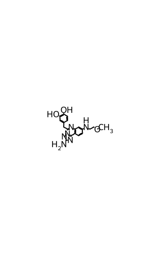 COCCNc1ccc2c(c1)nc(Cc1ccc(O)c(O)c1)n1nc(N)nc21